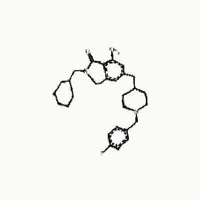 Cc1cc(CC2CCN(Cc3ccc(F)cc3)CC2)cc2c1C(=O)N(CC1CCCCC1)C2